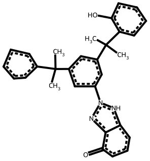 CC(C)(c1ccccc1)c1cc(-n2nc3c(=O)cccc-3[nH]2)cc(C(C)(C)c2ccccc2O)c1